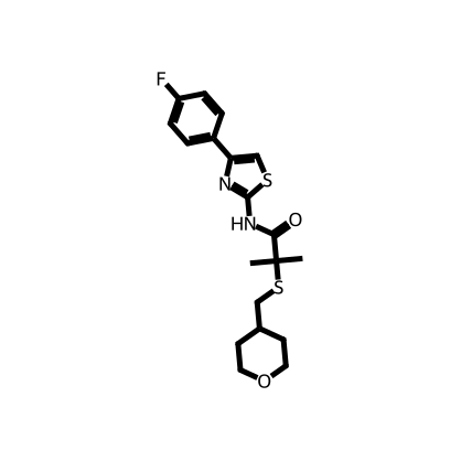 CC(C)(SCC1CCOCC1)C(=O)Nc1nc(-c2ccc(F)cc2)cs1